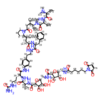 CC[C@H](C)[C@@H]([C@@H](CC(=O)N1CCC[C@H]1[C@H](OC)[C@@H](C)C(=O)N[C@@H](Cc1ccccc1)C(=O)NCCc1ccc(NC(=O)[C@@H](CCCNC(N)=O)NC(=O)C(NC(=O)[C@H]2O[C@H](CNC(=O)C3O[C@H](CNC(=O)CCCCCN4C(=O)C=CC4=O)C(O)C3O)C(O)C2O)C(C)C)cc1)OC)N(C)C(=O)C(NC(=O)[C@H](C(C)C)N(C)C)C(C)C